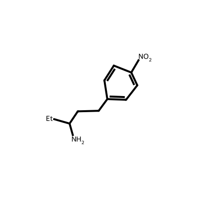 CCC(N)CCc1ccc([N+](=O)[O-])cc1